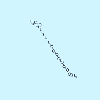 CCOC(=O)CCCCCCCCCCCCCCCOCCOCCOCCOCCOCCOCCOCCOC